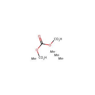 O=C(O)OC(=O)OC(=O)O.[Mn].[Mn].[Mn].[Mn]